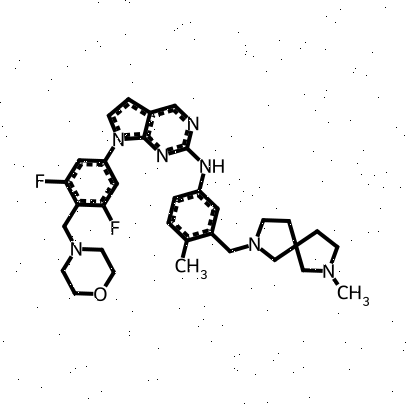 Cc1ccc(Nc2ncc3ccn(-c4cc(F)c(CN5CCOCC5)c(F)c4)c3n2)cc1CN1CCC2(CCN(C)C2)C1